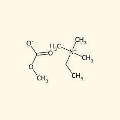 CC[N+](C)(C)C.COC(=O)[O-]